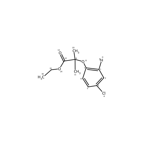 [3H]c1cc(Cl)ccc1OC(C)(C)C(=O)OCC